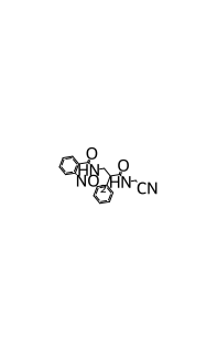 N#CCNC(=O)C(CNC(=O)c1ccccc1[N+](=O)[O-])c1ccccc1